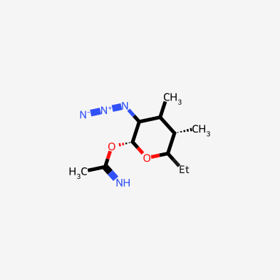 CCC1O[C@H](OC(C)=N)C(N=[N+]=[N-])C(C)[C@@H]1C